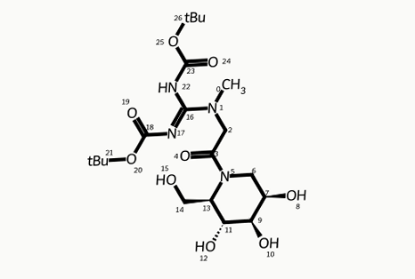 CN(CC(=O)N1C[C@@H](O)[C@@H](O)[C@H](O)[C@H]1CO)C(=NC(=O)OC(C)(C)C)NC(=O)OC(C)(C)C